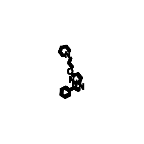 c1ccc(-c2cnc3ccc(OCCCN4CCCCC4)nn23)cc1